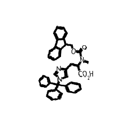 CN(C(=O)OCC1c2ccccc2-c2ccccc21)C(Cc1cn(C(c2ccccc2)(c2ccccc2)c2ccccc2)cn1)C(=O)O